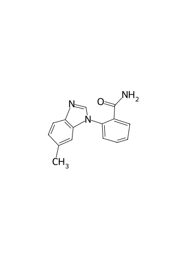 Cc1ccc2ncn(-c3ccccc3C(N)=O)c2c1